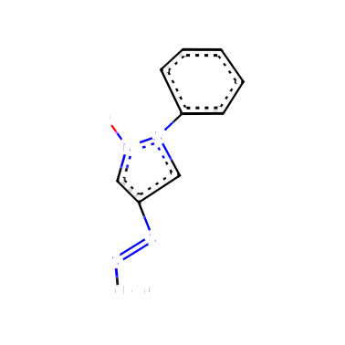 CCCCCN=Nc1cn(-c2ccccc2)[n+]([O-])c1